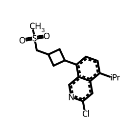 CC(C)c1ccc(C2CC(CS(C)(=O)=O)C2)c2cnc(Cl)cc12